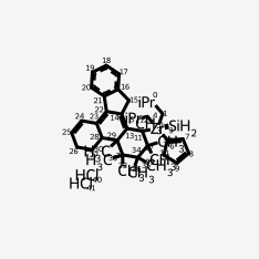 CC(C)[CH2][Zr](=[SiH2])([CH2]C(C)C)([C]1=CC=CC1)[C]1(C)C2=C3Cc4ccccc4C3=C3C=CCCC3C2(C)C(C)(C)C(C)(C)C1(C)C.Cl.Cl